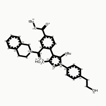 CCCCc1c(-c2ccc(C(=O)OC(C)(C)C)cc2C(=O)N2CCc3ccccc3C2)c(C(=O)O)nn1-c1ccc(CCO)cc1